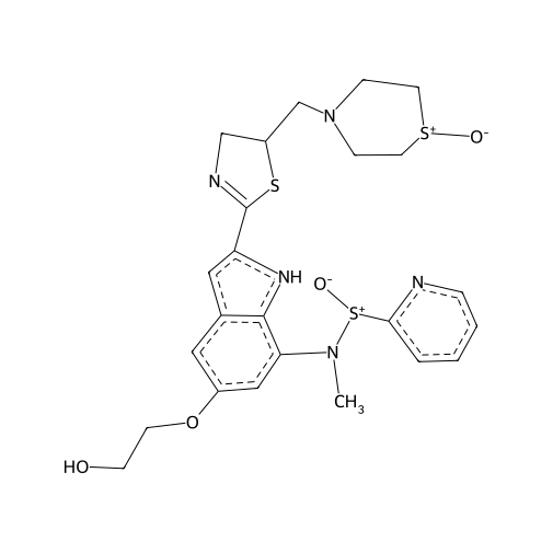 CN(c1cc(OCCO)cc2cc(C3=NCC(CN4CC[S+]([O-])CC4)S3)[nH]c12)[S+]([O-])c1ccccn1